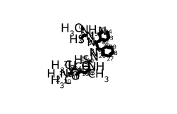 CN/C(S)=N/N=C(/C(=N/N=C(\S)NC(C)(C)CCOC(C)(N)C(C)C)c1ccccc1)c1cccnc1